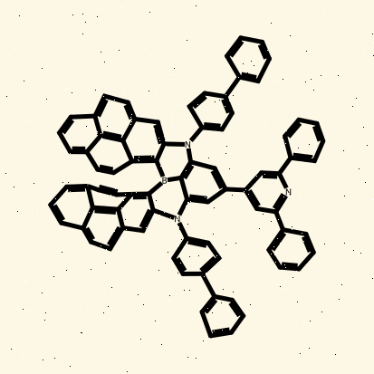 c1ccc(-c2ccc(N3c4cc(-c5cc(-c6ccccc6)nc(-c6ccccc6)c5)cc5c4B(c4c3cc3ccc6cccc7ccc4c3c67)c3c(cc4ccc6cccc7ccc3c4c67)N5c3ccc(-c4ccccc4)cc3)cc2)cc1